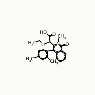 CCOC(C(=O)O)c1c(-c2ccc(C)cc2C)c2ccccc2c(=O)n1C